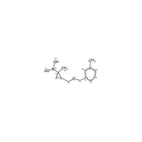 Cc1cccc(COCC2CC2(C)B(O)O)c1